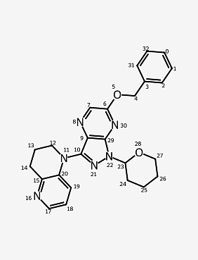 c1ccc(COc2cnc3c(N4CCCc5ncccc54)nn(C4CCCCO4)c3n2)cc1